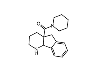 O=C(N1CCCCC1)C12CCCNC1c1ccccc1C2